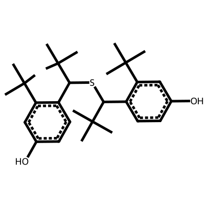 CC(C)(C)c1cc(O)ccc1C(SC(c1ccc(O)cc1C(C)(C)C)C(C)(C)C)C(C)(C)C